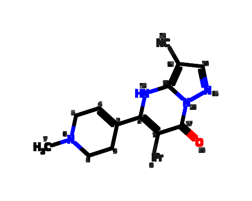 CC(C)c1c(C2=CCN(C)CC2)[nH]c2c(C#N)cnn2c1=O